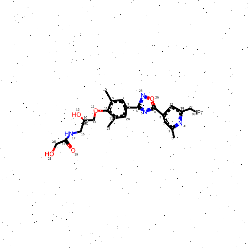 Cc1cc(-c2nc(-c3cc(C)c(OC[C@H](O)CNC(=O)CO)c(C)c3)no2)cc(CC(C)C)n1